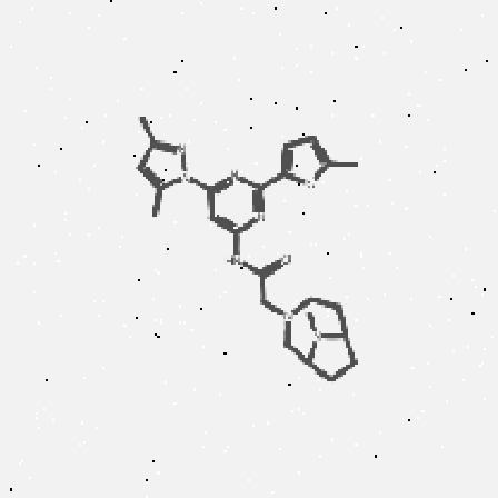 Cc1cc(C)n(-c2cc(NC(=O)CN3CCC4CCC(C3)N4C)nc(-c3ccc(C)o3)n2)n1